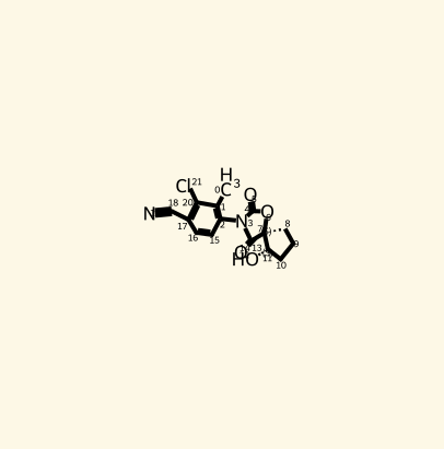 Cc1c(N2C(=O)O[C@]3(CCC[C@@H]3O)C2=O)ccc(C#N)c1Cl